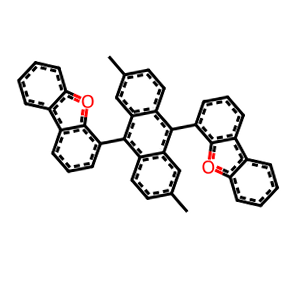 Cc1ccc2c(-c3cccc4c3oc3ccccc34)c3cc(C)ccc3c(-c3cccc4c3oc3ccccc34)c2c1